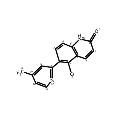 O=c1ccc2c(Cl)c(-c3cc(C(F)(F)F)ccn3)ccc2[nH]1